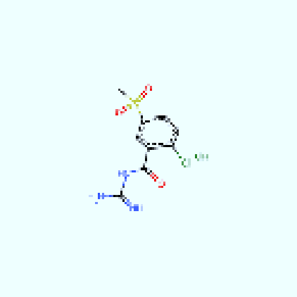 CS(=O)(=O)c1ccc(Cl)c(C(=O)NC(=N)N)c1.Cl